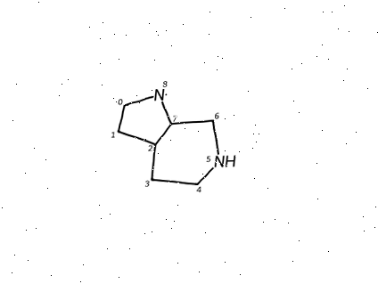 C1CC2CCNCC2[N]1